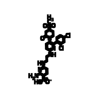 CS(=O)(=O)N1CCN(c2ccc(NCCNC3=NC(N)C(=[N+]([O-])O)C=C3)nc2-c2ccc(Cl)cc2Cl)C(=O)C1